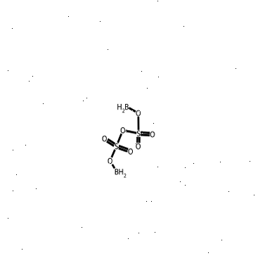 BOS(=O)(=O)OS(=O)(=O)OB